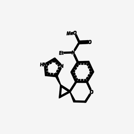 CCN(C(=O)OC)c1ccc2c(c1)[C@]1(CCO2)C[C@H]1c1c[nH]cn1